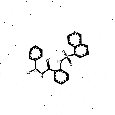 CC[C@H](NC(=O)c1ccccc1NS(=O)(=O)c1cccc2cnccc12)c1ccccc1